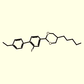 CCCCCC1COC(c2ccc(-c3ccc(CC)cc3)c(F)c2)OC1